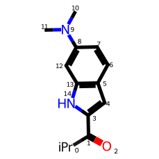 CC(C)C(=O)c1cc2ccc(N(C)C)cc2[nH]1